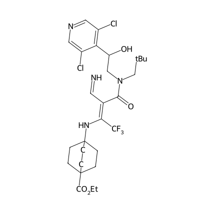 CCOC(=O)C12CCC(N/C(=C(\C=N)C(=O)N(CC(O)c3c(Cl)cncc3Cl)CC(C)(C)C)C(F)(F)F)(CC1)CC2